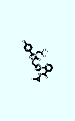 O=C(NC1CC1F)c1cccnc1-n1cnc(Cn2nc(-c3ccc(Cl)cc3)n(C[C@H](O)C(F)(F)F)c2=O)n1